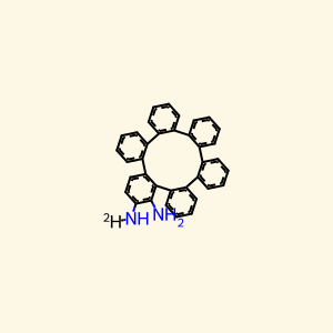 [2H]Nc1ccc2c(c1N)-c1ccccc1-c1ccccc1-c1ccccc1-c1ccccc1-c1ccccc1-2